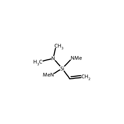 C=C[Si](NC)(NC)N(C)C